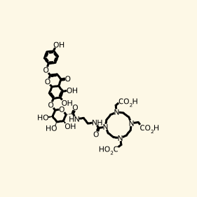 O=C(O)CN1CCN(CC(=O)O)CCN(C(=O)NCCNC(=O)[C@H]2OC(OC3=CC4OC(Oc5ccc(O)cc5)=CC(=O)C4C(O)=C3O)[C@H](O)[C@@H](O)[C@@H]2O)CCN(CC(=O)O)CC1